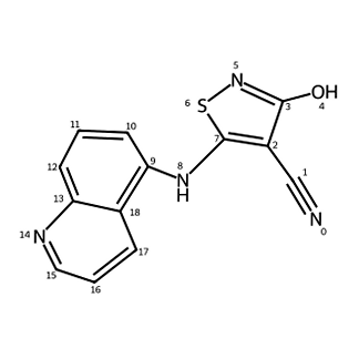 N#Cc1c(O)nsc1Nc1cccc2ncccc12